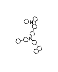 c1ccc(-c2ccc(N(c3ccc(-c4ccc5c6ccccc6n(-c6ccccc6)c5c4)cc3)c3ccc(-c4cccc5ccccc45)cc3)cc2)cc1